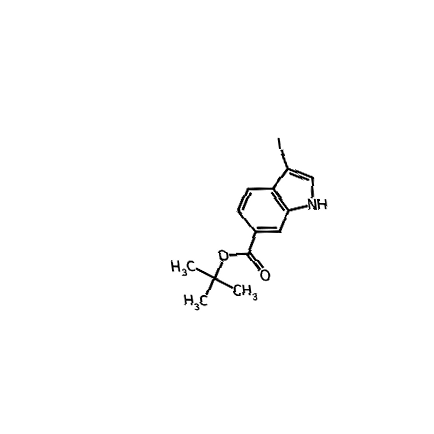 CC(C)(C)OC(=O)c1ccc2c(I)c[nH]c2c1